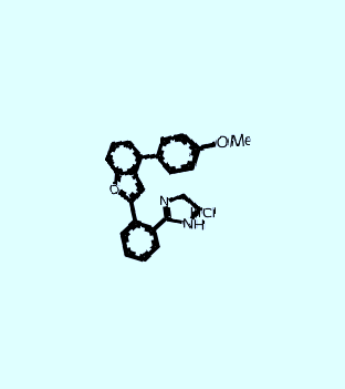 COc1ccc(-c2cccc3oc(-c4ccccc4C4=NCCN4)cc23)cc1.Cl